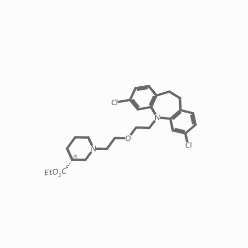 CCOC(=O)[C@@H]1CCCN(CCOCCN2c3cc(Cl)ccc3CCc3ccc(Cl)cc32)C1